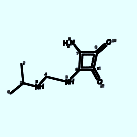 CC(C)NCNc1c(N)c(=O)c1=O